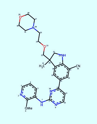 COc1ncccc1Nc1nccc(-c2cc(C#N)c3c(c2)C(C)(COCCN2CCOCC2)CN3)n1